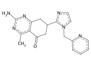 Cc1nc(N)nc2c1C(=O)CC(c1nccn1Cc1ccccn1)C2